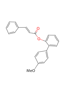 COc1ccc(-c2ccccc2OC(=O)C=Cc2ccccc2)cc1